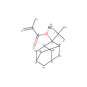 C=C(C)C(=O)OC1(C(C)(C)C#N)C2CC3CC(C2)CC1C3